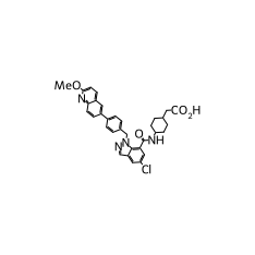 COc1ccc2cc(-c3ccc(Cn4ncc5cc(Cl)cc(C(=O)NC6CCC(CC(=O)O)CC6)c54)cc3)ccc2n1